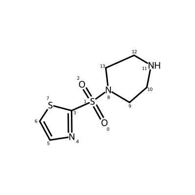 O=S(=O)(c1nccs1)N1CCNCC1